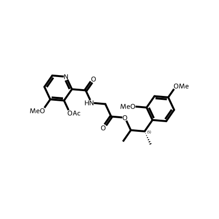 COc1ccc([C@H](C)C(C)OC(=O)CNC(=O)c2nccc(OC)c2OC(C)=O)c(OC)c1